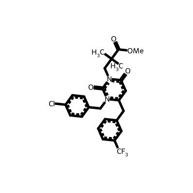 COC(=O)C(C)(C)Cn1c(=O)cc(Cc2cccc(C(F)(F)F)c2)n(Cc2ccc(Cl)cc2)c1=O